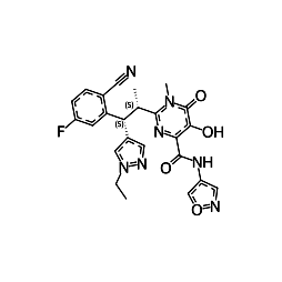 CCn1cc([C@H](c2cc(F)ccc2C#N)[C@H](C)c2nc(C(=O)Nc3cnoc3)c(O)c(=O)n2C)cn1